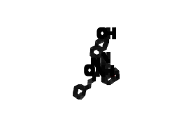 O=C(CCCc1ccccc1)Nc1nc2c(nc1CC13CC4CC(CC(C4)C1)C3)-c1ccc(O)cc1CC2